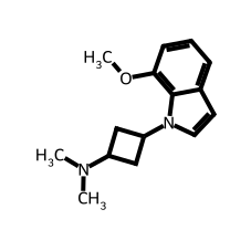 COc1cccc2ccn(C3CC(N(C)C)C3)c12